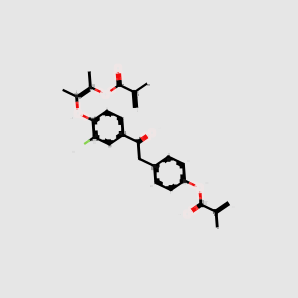 C=C(C)C(=O)OC(C)=C(C)Oc1ccc(C(=O)Cc2ccc(OC(=O)C(=C)C)cc2)cc1F